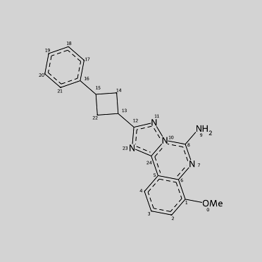 COc1cccc2c1nc(N)n1nc(C3CC(c4ccccc4)C3)nc21